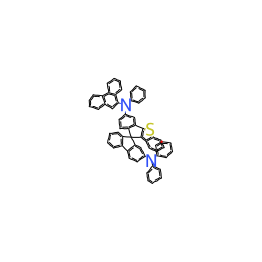 c1ccc(N(c2ccccc2)c2ccc3c(c2)C2(c4ccccc4-3)c3ccc(N(c4ccccc4)c4cc5ccccc5c5ccccc45)cc3-c3sc4ccccc4c32)cc1